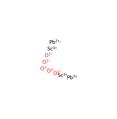 [O-2].[O-2].[O-2].[O-2].[O-2].[Pb+2].[Pb+2].[Sc+3].[Sc+3]